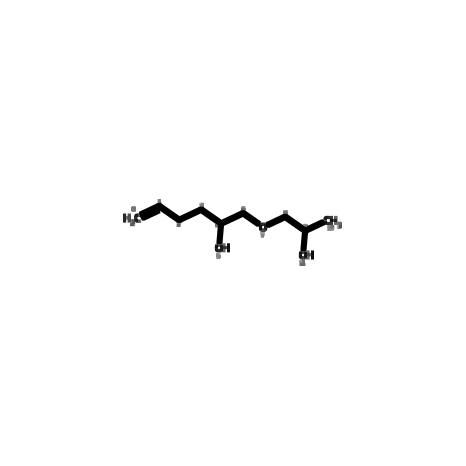 C=CCCC(O)COCC(C)O